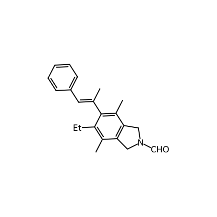 CCc1c(C)c2c(c(C)c1/C(C)=C/c1ccccc1)CN(C=O)C2